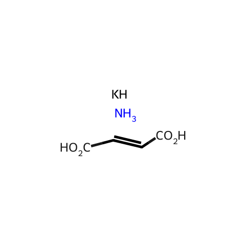 N.O=C(O)C=CC(=O)O.[KH]